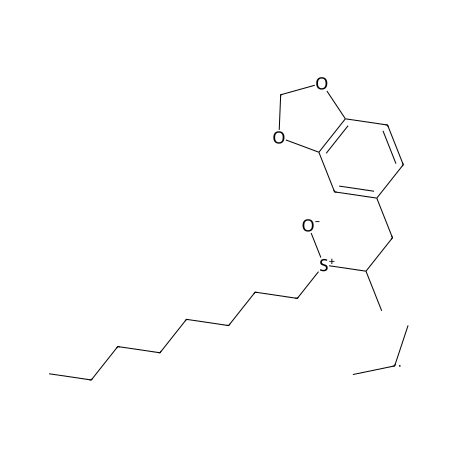 CCCCCCCC[S+]([O-])C(C)Cc1ccc2c(c1)OCO2.C[CH]C